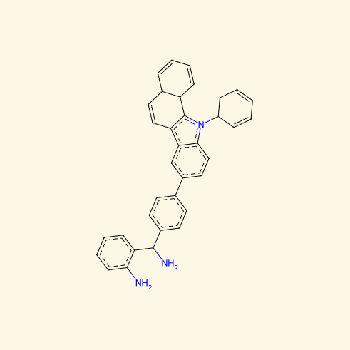 Nc1ccccc1C(N)c1ccc(-c2ccc3c(c2)c2c(n3C3C=CC=CC3)C3C=CC=CC3C=C2)cc1